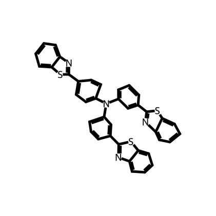 c1cc(-c2nc3ccccc3s2)cc(N(c2ccc(-c3nc4ccccc4s3)cc2)c2cccc(-c3nc4ccccc4s3)c2)c1